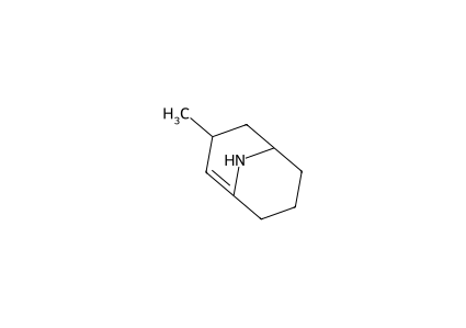 CC1C=C2CCCC(C1)N2